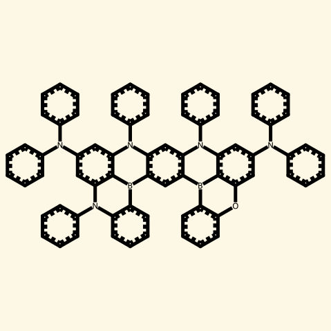 c1ccc(N(c2ccccc2)c2cc3c4c(c2)N(c2ccccc2)c2cc5c(cc2B4c2ccccc2O3)B2c3ccccc3N(c3ccccc3)c3cc(N(c4ccccc4)c4ccccc4)cc(c32)N5c2ccccc2)cc1